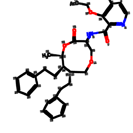 COc1ccnc(C(=O)N[C@H]2COC[C@H](CCc3ccccc3)[C@@H](CCc3ccccc3)[C@H](C)OC2=O)c1OCOC(C)=O